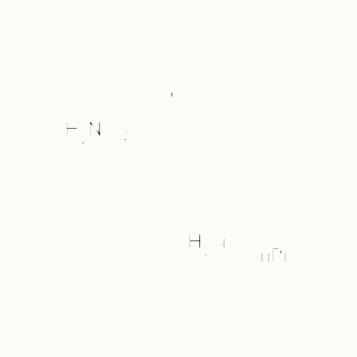 CCC[SiH2]C=CC(N)=O